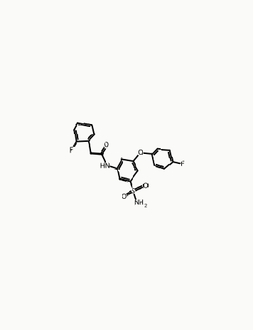 NS(=O)(=O)c1cc(NC(=O)Cc2ccccc2F)cc(Oc2ccc(F)cc2)c1